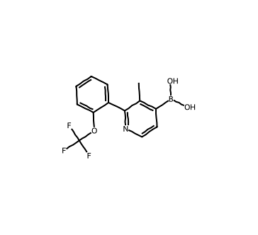 Cc1c(B(O)O)ccnc1-c1ccccc1OC(F)(F)F